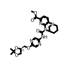 COC(=O)c1ccc2c(n1)N(C(=O)Nc1cnc(OC[C@H]3COC(C)(C)O3)cn1)C1CCCN2C1